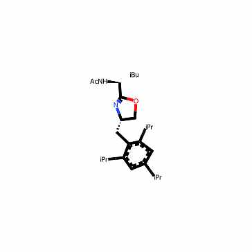 CC[C@H](C)[C@H](NC(C)=O)C1=N[C@@H](Cc2c(C(C)C)cc(C(C)C)cc2C(C)C)CO1